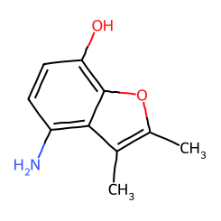 Cc1oc2c(O)ccc(N)c2c1C